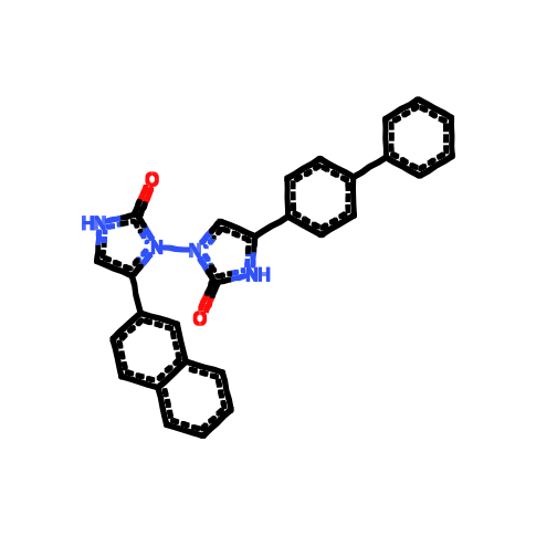 O=c1[nH]c(-c2ccc(-c3ccccc3)cc2)cn1-n1c(-c2ccc3ccccc3c2)c[nH]c1=O